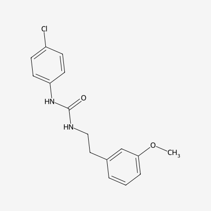 COc1cccc(CCNC(=O)Nc2ccc(Cl)cc2)c1